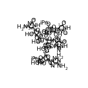 CC(C)OC[C@H]1O[C@@H](c2cc(=O)[nH]c(=O)[nH]2)C(O)[C@H]1OP(=O)(O)OC[C@H]1O[C@@H](c2cc(N)nc(=O)[nH]2)C(O)[C@H]1OP(=O)(O)OC[C@H]1O[C@@H](n2cnc3c(=O)[nH]c(N)nc32)C(O)[C@H]1OP(=O)(O)OC[C@H]1O[C@@H](n2cnc3c(N)ncnc32)C(O)[C@H]1OP(=O)(O)C(C)C